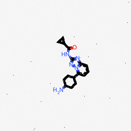 NC1CCC(c2cccc3nc(NC(=O)C4CC4)nn23)CC1